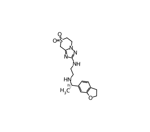 C[C@H](NCCNc1nc2n(n1)CCS(=O)(=O)C2)c1ccc2c(c1)OCC2